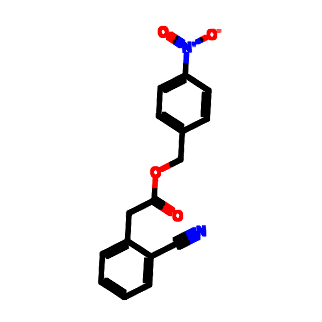 N#Cc1ccccc1CC(=O)OCc1ccc([N+](=O)[O-])cc1